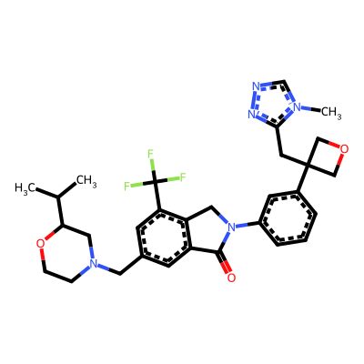 CC(C)C1CN(Cc2cc3c(c(C(F)(F)F)c2)CN(c2cccc(C4(Cc5nncn5C)COC4)c2)C3=O)CCO1